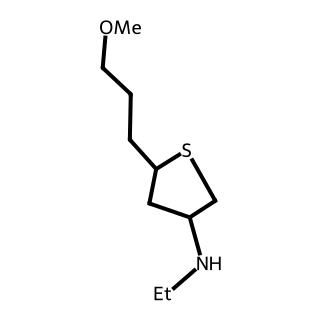 CCNC1CSC(CCCOC)C1